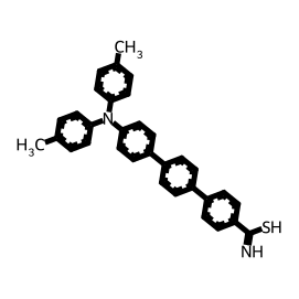 Cc1ccc(N(c2ccc(C)cc2)c2ccc(-c3ccc(-c4ccc(C(=N)S)cc4)cc3)cc2)cc1